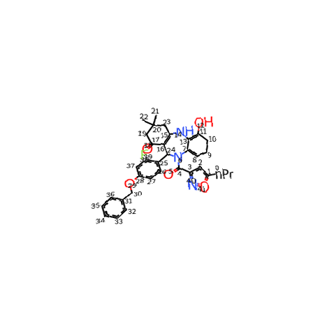 CCCc1cc(C(=O)N2C3=CCCC(O)=C3NC3=C(C(=O)CC(C)(C)C3)C2c2ccc(OCc3ccccc3)cc2F)no1